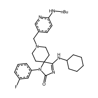 CCCCNc1ccc(CN2CCC3(CC2)C(NC2CCCCC2)=NC(=O)N3c2cccc(F)c2)cn1